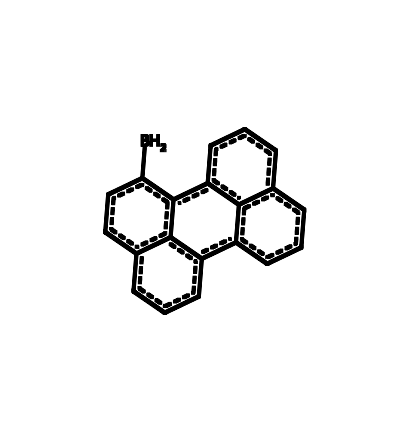 Bc1ccc2cccc3c4cccc5cccc(c1c23)c54